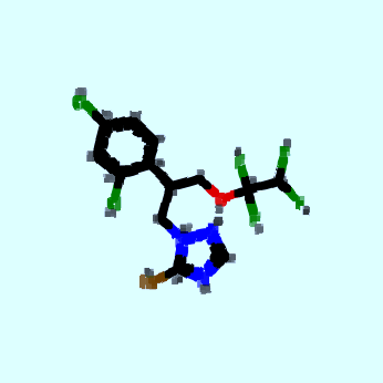 FC(F)C(F)(F)OCC(Cn1ncnc1S)c1ccc(Cl)cc1Cl